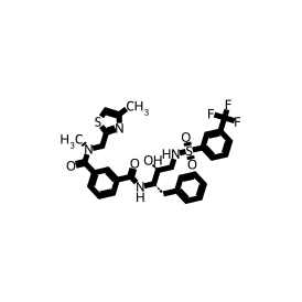 Cc1csc(CN(C)C(=O)c2cccc(C(=O)N[C@@H](Cc3ccccc3)[C@H](O)CNS(=O)(=O)c3cccc(C(F)(F)F)c3)c2)n1